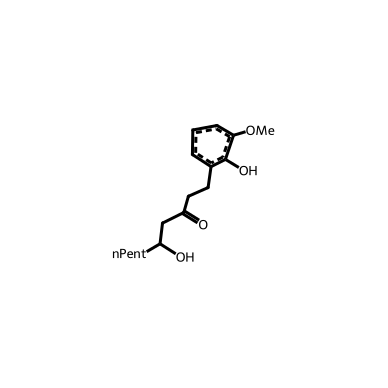 CCCCCC(O)CC(=O)CCc1cccc(OC)c1O